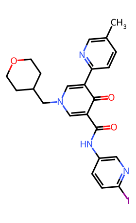 Cc1ccc(-c2cn(CC3CCOCC3)cc(C(=O)Nc3ccc(I)nc3)c2=O)nc1